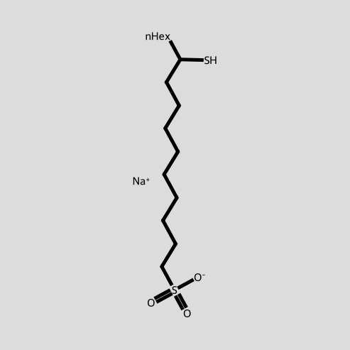 CCCCCCC(S)CCCCCCCCCS(=O)(=O)[O-].[Na+]